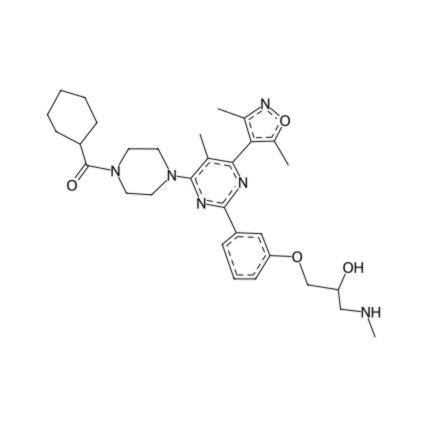 CNCC(O)COc1cccc(-c2nc(-c3c(C)noc3C)c(C)c(N3CCN(C(=O)C4CCCCC4)CC3)n2)c1